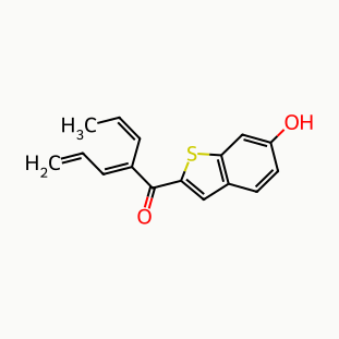 C=C/C=C(\C=C/C)C(=O)c1cc2ccc(O)cc2s1